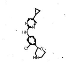 Clc1cc(Nc2ncc(C3CC3)cn2)ccc1[C@@H]1CNCCO1